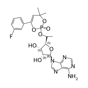 CC(OP1(=O)OC(c2cccc(F)c2)=CC(C)(C)O1)[C@H]1O[C@@H](n2cnc3c(N)ncnc32)[C@H](O)[C@@H]1O